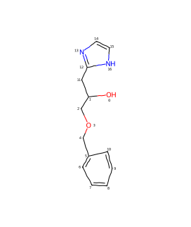 OC(COCc1ccccc1)Cc1ncc[nH]1